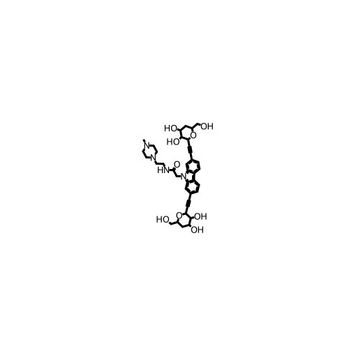 CN1CCN(CCNC(=O)Cn2c3cc(C#CC4OC(CO)CC(O)C4O)ccc3c3ccc(C#CC4OC(CO)CC(O)C4O)cc32)CC1